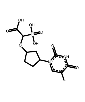 O=C(O)C(OC1CCC(n2cc(F)c(=O)[nH]c2=O)C1)P(=O)(O)O